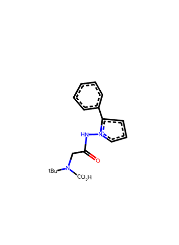 CC(C)(C)N(CC(=O)Nn1cccc1-c1ccccc1)C(=O)O